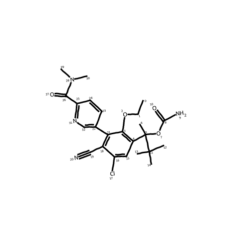 CCOc1c(C(C)(OC(N)=O)C(C)(C)C)cc(Cl)c(C#N)c1-c1ccc(C(=O)N(C)C)nc1